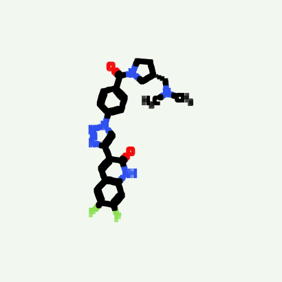 CN(C)C[C@H]1CCN(C(=O)c2ccc(-n3cc(-c4cc5cc(F)c(F)cc5[nH]c4=O)nn3)cc2)C1